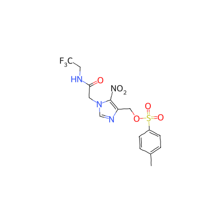 Cc1ccc(S(=O)(=O)OCc2ncn(CC(=O)NCC(F)(F)F)c2[N+](=O)[O-])cc1